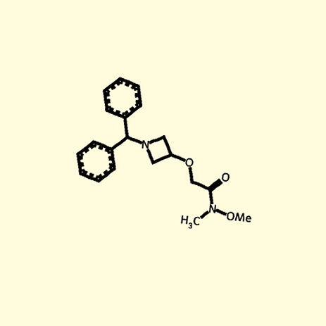 CON(C)C(=O)COC1CN(C(c2ccccc2)c2ccccc2)C1